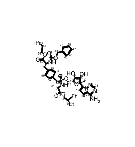 CCC(CC)COC(=O)[C@H](C)NP(=O)(OC[C@H]1O[C@@](C)(c2ccc3c(N)ncnn23)[C@H](O)[C@@H]1O)Oc1ccc(C[C@H](NC(=O)OCc2ccccc2)C(=O)OCCC(C)C)cc1